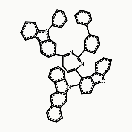 C1=C(c2c(-n3c4ccccc4c4cc5ccccc5cc43)ccc3oc4ccccc4c23)N=C(c2cccc(-c3ccccc3)c2)N=C(c2ccc3c4ccccc4n(-c4ccccc4)c3c2)C1